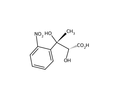 C[C@](O)(c1ccccc1[N+](=O)[O-])[C@@H](O)C(=O)O